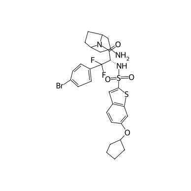 NC1CC2CCC(C1)N2C(=O)[C@H](NS(=O)(=O)c1cc2ccc(OC3CCCC3)cc2s1)C(F)(F)c1ccc(Br)cc1